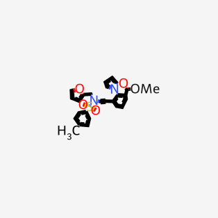 COC(=O)c1cccc(C#CN(Cc2ccco2)S(=O)(=O)c2ccc(C)cc2)c1-n1cccc1